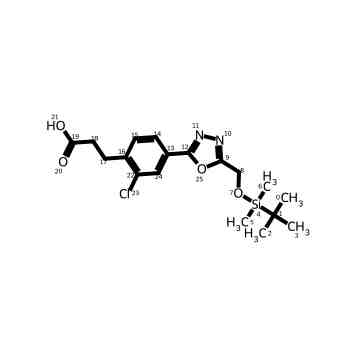 CC(C)(C)[Si](C)(C)OCc1nnc(-c2ccc(CCC(=O)O)c(Cl)c2)o1